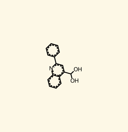 OC(O)c1cc(-c2ccccc2)nc2ccccc12